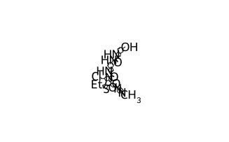 CCc1csc2c(OC(=O)N3CCN(C)CC3)cc3c(c12)C(CCl)CN3C(=O)c1cc2cc(NC(=O)c3cc4cc(O)ccc4[nH]3)ccc2[nH]1